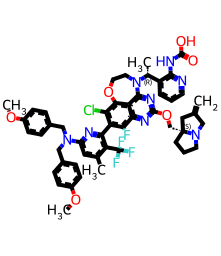 C=C1CN2CCC[C@@]2(COc2nc3c4c(c(Cl)c(-c5nc(N(Cc6ccc(OC)cc6)Cc6ccc(OC)cc6)cc(C)c5C(F)(F)F)c(F)c4n2)OCCN3[C@H](C)c2cccnc2NC(=O)O)C1